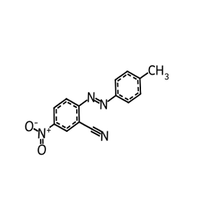 Cc1ccc(N=Nc2ccc([N+](=O)[O-])cc2C#N)cc1